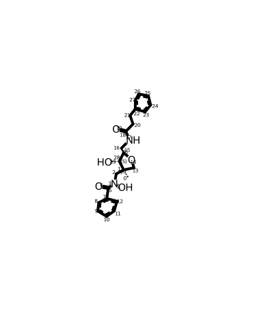 C[C@@]1(CN(O)C(=O)c2ccccc2)CO[C@H](CNC(=O)CCc2ccccc2)[C@H]1O